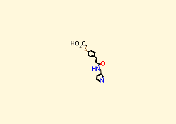 O=C(O)CSc1ccc(C=CC(=O)NCc2cccnc2)cc1